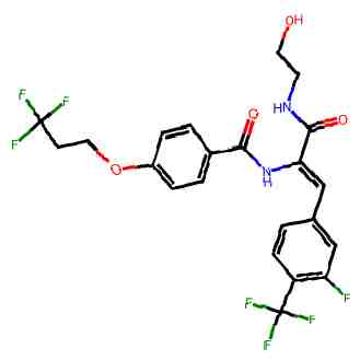 O=C(NCCO)/C(=C/c1ccc(C(F)(F)F)c(F)c1)NC(=O)c1ccc(OCCC(F)(F)F)cc1